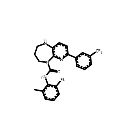 CCc1cccc(C)c1NC(=O)N1CCCNc2ccc(-c3cccc(C(F)(F)F)c3)nc21